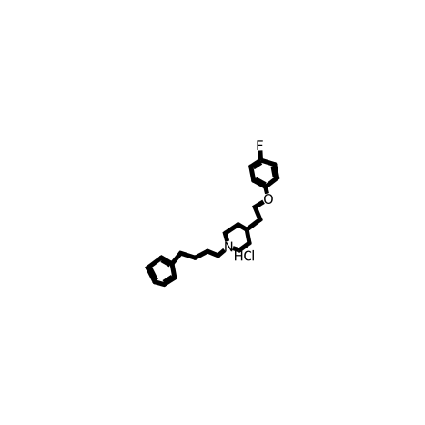 Cl.Fc1ccc(OCCC2CCN(CCCCc3ccccc3)CC2)cc1